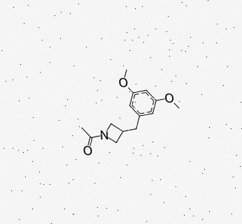 COc1cc(CC2CN(C(C)=O)C2)cc(OC)c1